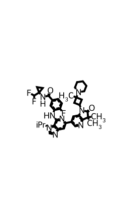 CC(C)n1cnc2cc(-c3cnc4c(c3)N(C3CC(C)(N5CCCCC5)C3)C(=O)C4(C)C)nc(Nc3cc(C(=O)NC4(C(F)F)CC4)ccc3F)c21